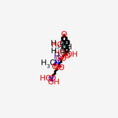 CC(=O)NC(CC(=O)OCC(=O)[C@@]1(O)[C@H](O)C[C@H]2[C@@H]3CCC4=CC(=O)C=C[C@]4(C)[C@@]3(F)[C@@H](O)C[C@@]21C)C(=O)OCCCCON(O)O